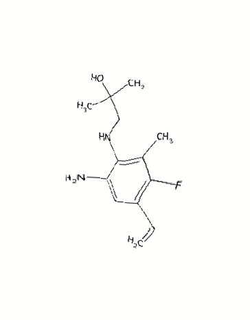 C=Cc1cc(N)c(NCC(C)(C)O)c(C)c1F